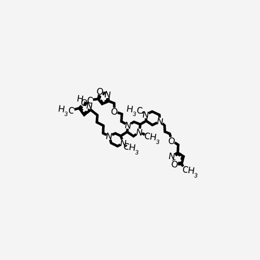 Cc1cc(CCCCN2CCN(C)C(C3CN(C)C(C4CN(CCCOCc5cc(C)on5)CCN4C)CN3CCOCc3cc(C)on3)C2)no1